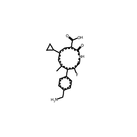 Cc1cc(C2CC2)cc(C(=O)O)c(=O)[nH]cc(F)c1-c1ccc(CN)cc1